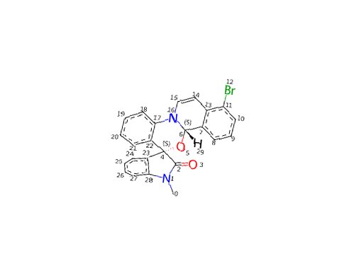 CN1C(=O)[C@@]2(O[C@H]3c4cccc(Br)c4C=CN3c3ccccc32)c2ccccc21